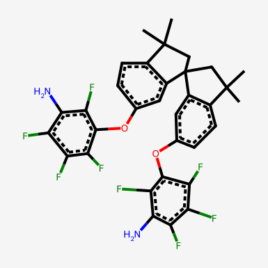 CC1(C)CC2(CC(C)(C)c3ccc(Oc4c(F)c(N)c(F)c(F)c4F)cc32)c2cc(Oc3c(F)c(N)c(F)c(F)c3F)ccc21